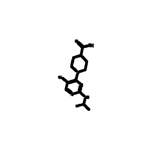 CC(C)Nc1ncc(Cl)c(N2CCC(C(=O)O)CC2)n1